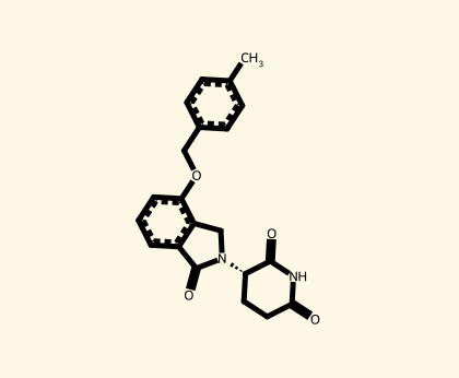 Cc1ccc(COc2cccc3c2CN([C@H]2CCC(=O)NC2=O)C3=O)cc1